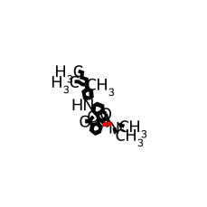 CCCCC(C)(CCC)c1ccc(Nc2ccc3c(c2)C2(OC(=O)c4ccccc42)c2ccc(N(CC)CC)cc2O3)cc1